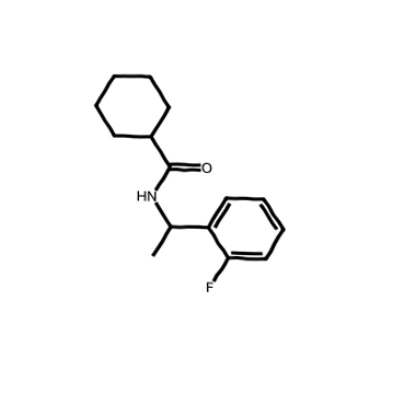 CC(NC(=O)C1CCCCC1)c1ccccc1F